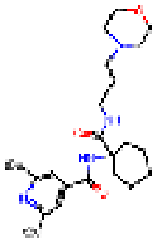 CC(C)(C)c1cc(C(=O)NC2(C(=O)NCCCN3CCOCC3)CCCCC2)cc(C(C)(C)C)n1